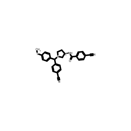 CSc1ccc(C(c2ccc(C#N)cc2)N2CC[C@@H](NC(=O)c3ccc(C#N)cc3)C2)cc1